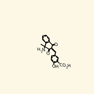 CC1(N)C(=O)/C(=C\c2ccc(O)c(C(=O)O)c2)C(=O)c2ccccc21